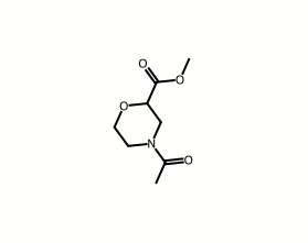 COC(=O)C1CN(C(C)=O)CCO1